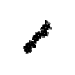 Cc1ccc(C(=O)NCc2cc3nc(-c4cccc(N5CC(C)(C)NCC5C)n4)ccc3cn2)cc1S(C)(=O)=O